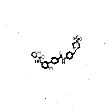 CS(=O)(=O)N1CCN(Cc2ccc(NC(=O)c3ccc(-c4cc(NC(=O)[C@H]5CCCN5)ccc4Cl)cc3)cc2)CC1